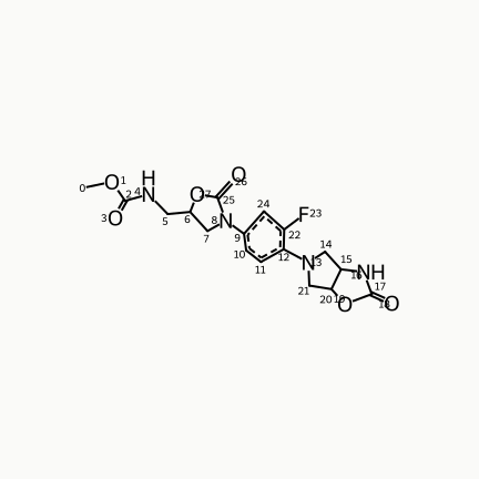 COC(=O)NCC1CN(c2ccc(N3CC4NC(=O)OC4C3)c(F)c2)C(=O)O1